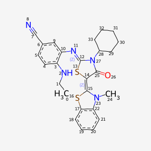 CCNc1ccc(C#N)cc1/N=C1\S/C(=C2\Sc3ccccc3N2C)C(=O)N1C1CCCCC1